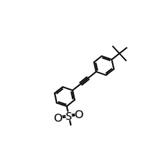 CC(C)(C)c1ccc(C#Cc2cccc(S(C)(=O)=O)c2)cc1